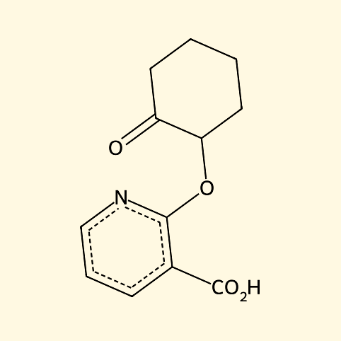 O=C(O)c1cccnc1OC1CCCCC1=O